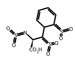 O=C(O)[C@@H](N=S(=O)=O)C(C1C=CC=CC1=S(=O)=O)=S(=O)=O